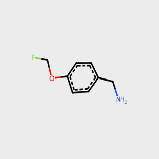 NCc1ccc(OCF)cc1